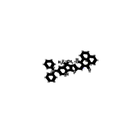 CC1/C(=C\c2cc3c(o2)C2NC=C(N(c4ccccc4)c4ccccc4)C=C2C3(C)C)C(=O)c2cccc3cccc1c23